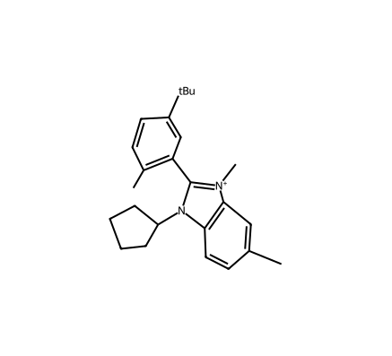 Cc1ccc2c(c1)[n+](C)c(-c1cc(C(C)(C)C)ccc1C)n2C1CCCC1